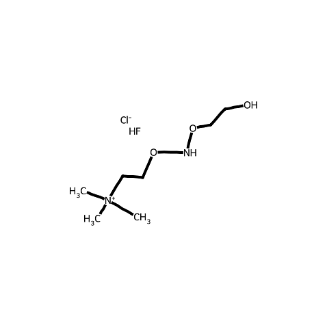 C[N+](C)(C)CCONOCCO.F.[Cl-]